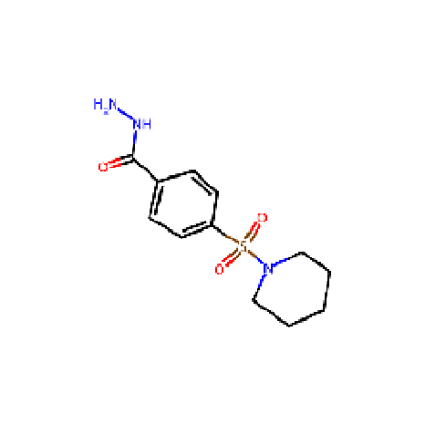 NNC(=O)c1ccc(S(=O)(=O)N2CCCCC2)cc1